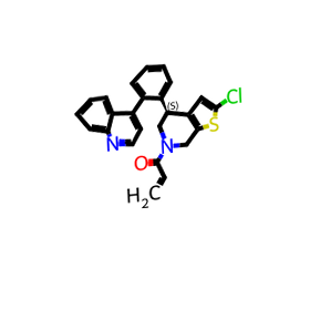 C=CC(=O)N1Cc2sc(Cl)cc2[C@H](c2ccccc2-c2ccnc3ccccc23)C1